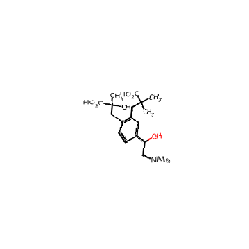 CNCC(O)c1ccc(CC(C)(C)C(=O)O)c(CC(C)(C)C(=O)O)c1